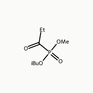 CCC(=O)P(=O)(OC)OCC(C)C